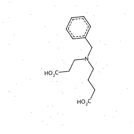 O=C(O)CCCN(CCC(=O)O)Cc1ccccc1